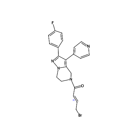 O=C(/C=C/CBr)N1CCn2nc(-c3ccc(F)cc3)c(-c3ccncc3)c2C1